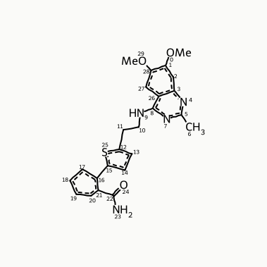 COc1cc2nc(C)nc(NCCc3ccc(-c4ccccc4C(N)=O)s3)c2cc1OC